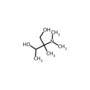 CC(O)C(C)(CO)N(C)C